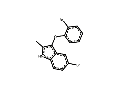 Cc1[nH]c2ccc(Br)cc2c1Oc1ccccc1Br